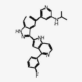 C=C(/C=c1/c(-c2cc3c(-c4cccc(F)c4)nccc3[nH]2)n[nH]/c1=C/C)c1cncc(NC(C)C)c1